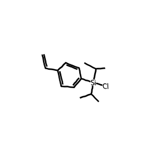 C=Cc1ccc([Si](Cl)(C(C)C)C(C)C)cc1